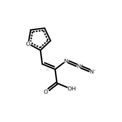 [N-]=[N+]=N/C(=C\c1ccco1)C(=O)O